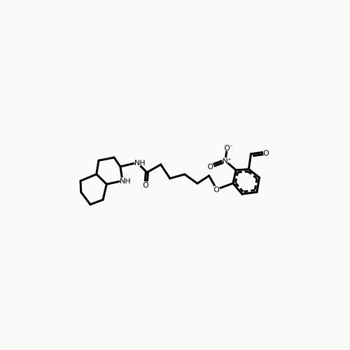 O=Cc1cccc(OCCCCCC(=O)NC2CCC3CCCCC3N2)c1[N+](=O)[O-]